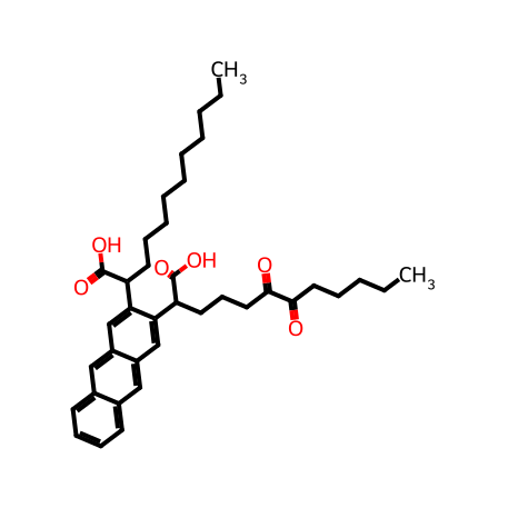 CCCCCCCCCCC(C(=O)O)c1cc2cc3ccccc3cc2cc1C(CCCC(=O)C(=O)CCCCC)C(=O)O